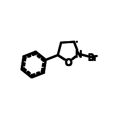 BrN1[CH]CC(c2ccccc2)O1